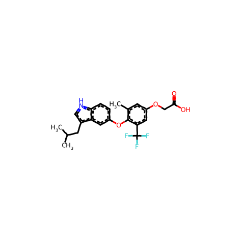 Cc1cc(OCC(=O)O)cc(C(F)(F)F)c1Oc1ccc2[nH]cc(CC(C)C)c2c1